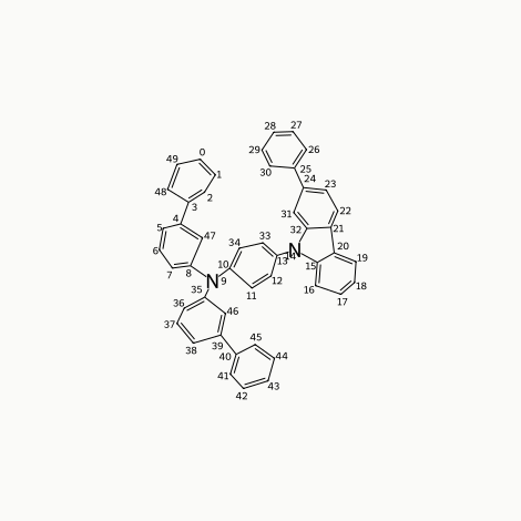 c1ccc(-c2cccc(N(c3ccc(-n4c5ccccc5c5ccc(-c6ccccc6)cc54)cc3)c3cccc(-c4ccccc4)c3)c2)cc1